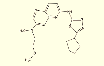 COCCN(C)c1cnc2ccc(Nc3nnc(C4CCCC4)s3)nc2c1